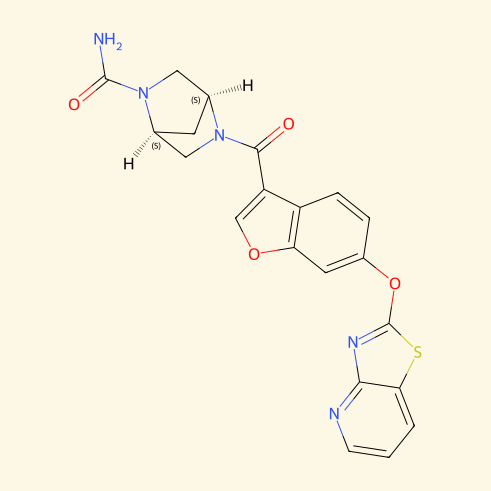 NC(=O)N1C[C@@H]2C[C@H]1CN2C(=O)c1coc2cc(Oc3nc4ncccc4s3)ccc12